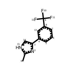 Cc1nc(-c2cccc(C(F)(F)F)c2)c[nH]1